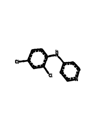 Clc1ccc(Nc2ccncc2)c(Cl)c1